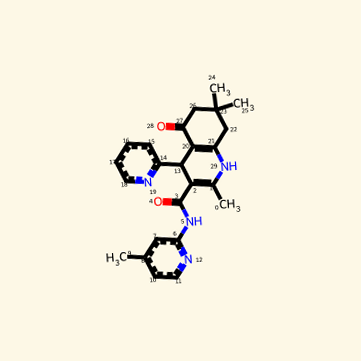 CC1=C(C(=O)Nc2cc(C)ccn2)C(c2ccccn2)C2=C(CC(C)(C)CC2=O)N1